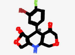 O=C1COCC2=C1[C@H](c1ccc(F)c(Br)c1)C1=C(COC1=O)N2